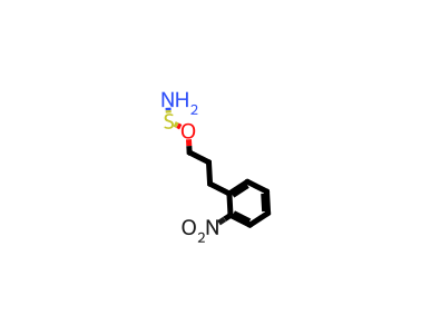 NSOCCCc1ccccc1[N+](=O)[O-]